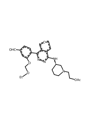 CCOCOc1cc(C=O)ccc1-c1nnc(N[C@@H]2CCCN(CCOC(C)=O)C2)c2ccccc12